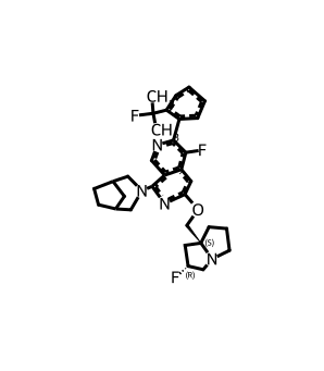 CC(C)(F)c1ccccc1-c1ncc2c(N3CC4CCC(C4)C3)nc(OC[C@@]34CCCN3C[C@H](F)C4)cc2c1F